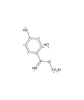 CCOC(=O)OC(=N)c1ccc(O)cc1.Cl